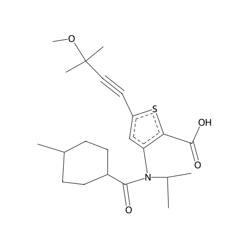 COC(C)(C)C#Cc1cc(N(C(=O)C2CCC(C)CC2)C(C)C)c(C(=O)O)s1